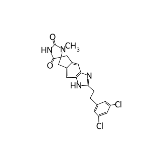 CN1C(=O)NC(=O)C12Cc1cc3nc(CCc4cc(Cl)cc(Cl)c4)[nH]c3cc1C2